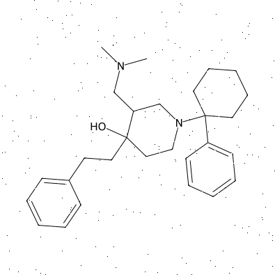 CN(C)CC1CN(C2(c3ccccc3)CCCCC2)CCC1(O)CCc1ccccc1